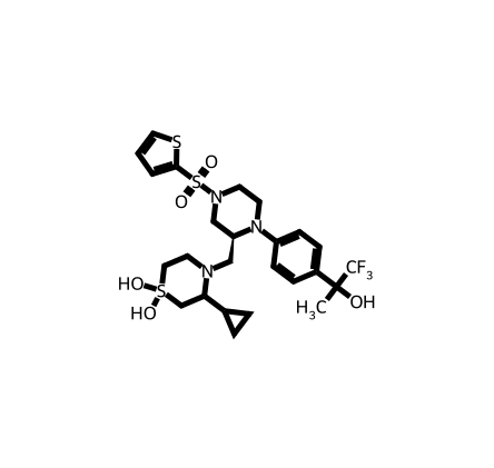 CC(O)(c1ccc(N2CCN(S(=O)(=O)c3cccs3)C[C@@H]2CN2CCS(O)(O)CC2C2CC2)cc1)C(F)(F)F